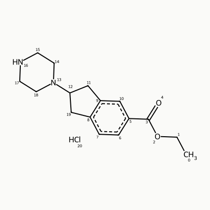 CCOC(=O)c1ccc2c(c1)CC(N1CCNCC1)C2.Cl